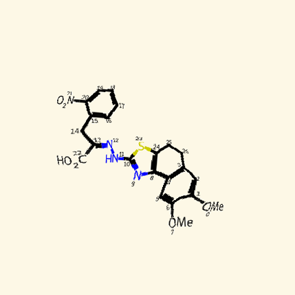 COc1cc2c(cc1OC)-c1nc(N/N=C(/Cc3ccccc3[N+](=O)[O-])C(=O)O)sc1CC2